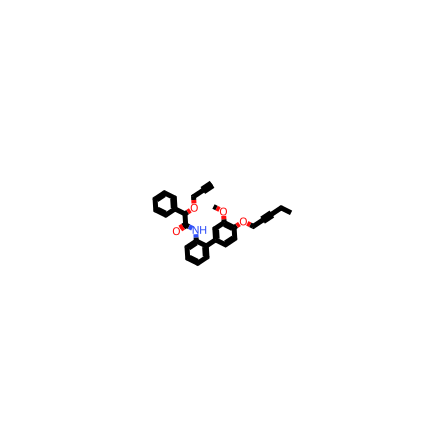 C#CCOC(C(=O)Nc1ccccc1-c1ccc(OCC#CCC)c(OC)c1)c1ccccc1